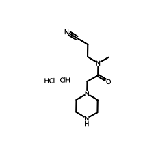 CN(CCC#N)C(=O)CN1CCNCC1.Cl.Cl